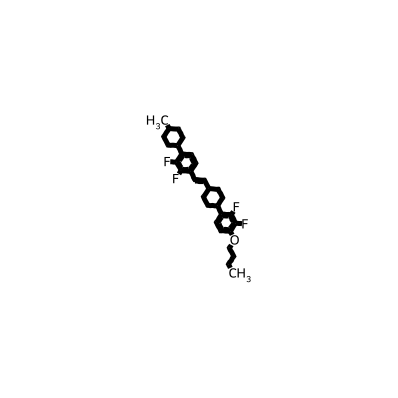 CCCCOc1ccc(C2CCC(/C=C/c3ccc(C4CCC(C)CC4)c(F)c3F)CC2)c(F)c1F